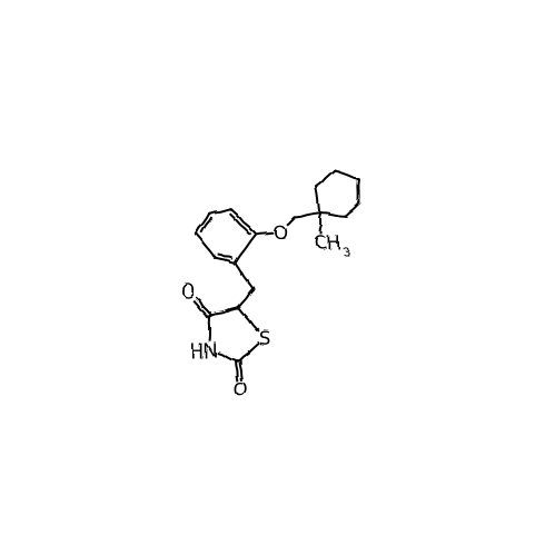 CC1(COc2ccccc2CC2SC(=O)NC2=O)CCCCC1